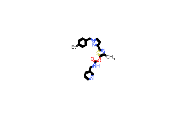 CCc1ccc(Cn2ccc(-c3nc(C)c(OC(=O)NCc4cccnc4)s3)n2)cc1